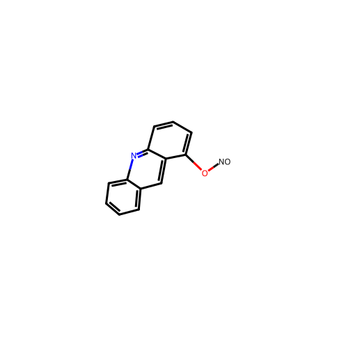 O=NOc1cccc2nc3ccccc3cc12